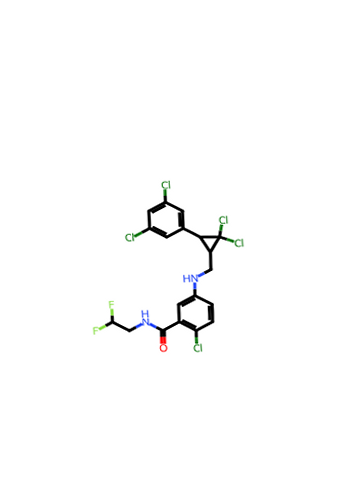 O=C(NCC(F)F)c1cc(NCC2C(c3cc(Cl)cc(Cl)c3)C2(Cl)Cl)ccc1Cl